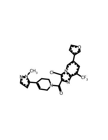 Cn1nccc1C1=CCN(C(=O)c2nc3c(C(F)(F)F)cc(-c4ccoc4)cn3c2Cl)CC1